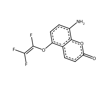 Nc1ccc(OC(F)=C(F)F)c2ccc(=O)oc12